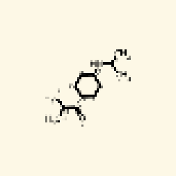 CC(C)N[C@H]1CC[C@H](C(=O)C(C)C)CC1